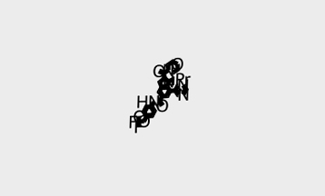 CC(C)N1c2c(cc(C(=O)Nc3ccc(OC(F)(F)Cl)cc3)cc2-c2cncnc2)CC1C(=O)N1CCOCC1